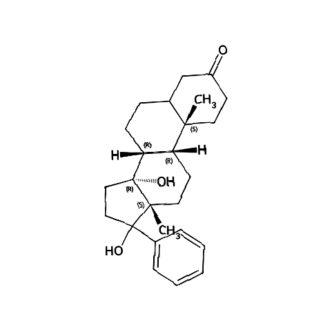 C[C@]12CCC(=O)CC1CC[C@@H]1[C@H]2CC[C@]2(C)C(O)(c3ccccc3)CC[C@@]12O